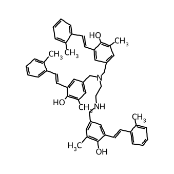 Cc1ccccc1/C=C/c1cc(CNCCN(Cc2cc(C)c(O)c(/C=C/c3ccccc3C)c2)Cc2cc(C)c(O)c(/C=C/c3ccccc3C)c2)cc(C)c1O